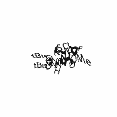 COC(=O)C1=C2C[C@H](N/C(=N/C(=O)OC(C)(C)C)NC(=O)OC(C)(C)C)CN2C(c2nccs2)=N[C@H]1c1ccc(F)cc1Cl